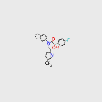 O=C(C(O)c1ccc(F)cc1)N(CCc1ccc(C(F)(F)F)cn1)c1ccc2c(c1)CCC2